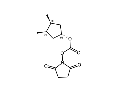 C[C@@H]1C[C@@H](OC(=O)ON2C(=O)CCC2=O)C[C@@H]1C